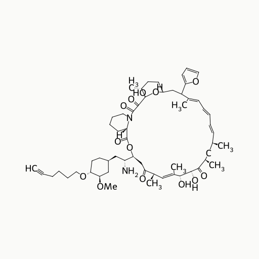 C#CCCCCO[C@@H]1CC[C@@H](C[C@@H](N)[C@@H]2CC(=O)[C@H](C)/C=C(\C)[C@@H](O)[C@@H](O)C(=O)[C@H](C)C[C@H](C)/C=C/C=C/C=C(\C)C(c3ccco3)C[C@@H]3CC[C@@H](C)[C@@](O)(O3)C(=O)C(=O)N3CCCC[C@H]3C(=O)O2)C[C@H]1OC